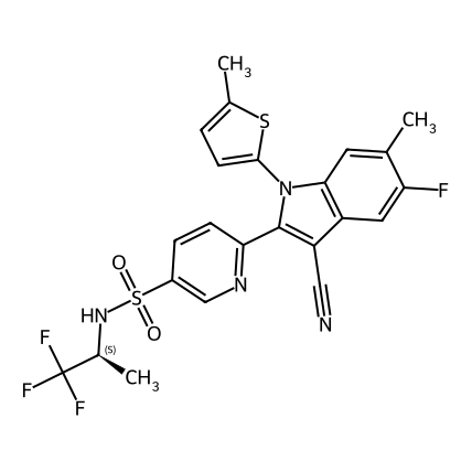 Cc1ccc(-n2c(-c3ccc(S(=O)(=O)N[C@@H](C)C(F)(F)F)cn3)c(C#N)c3cc(F)c(C)cc32)s1